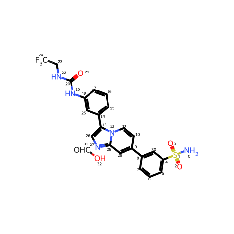 NS(=O)(=O)c1cccc(-c2ccn3c(-c4cccc(NC(=O)NCC(F)(F)F)c4)cnc3c2)c1.O=CO